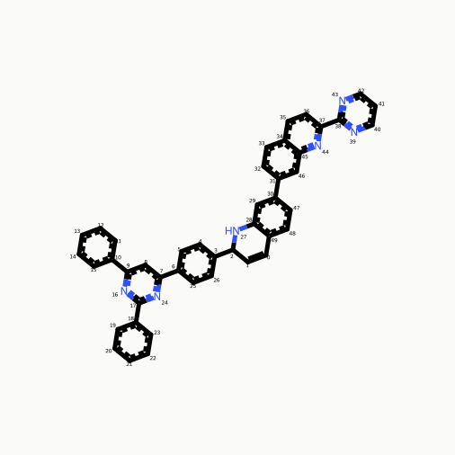 C1=CC(c2ccc(-c3cc(-c4ccccc4)nc(-c4ccccc4)n3)cc2)Nc2cc(-c3ccc4ccc(-c5ncccn5)nc4c3)ccc21